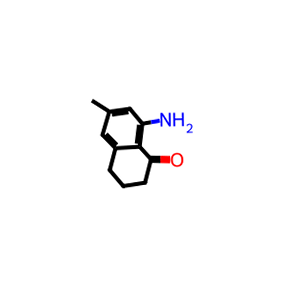 Cc1cc(N)c2c(c1)CCCC2=O